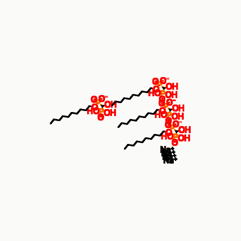 CCCCCCCCCCOP(=O)([O-])C(O)P(=O)(O)O.CCCCCCCCCCOP(=O)([O-])C(O)P(=O)(O)O.CCCCCCCCCCOP(=O)([O-])C(O)P(=O)(O)O.CCCCCCCCCCOP(=O)([O-])C(O)P(=O)(O)O.[Na+].[Na+].[Na+].[Na+]